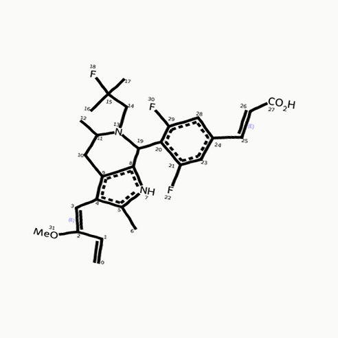 C=C/C(=C\c1c(C)[nH]c2c1CC(C)N(CC(C)(C)F)C2c1c(F)cc(/C=C/C(=O)O)cc1F)OC